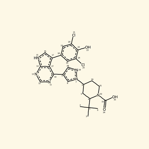 CC(C)(C)C1CC(n2cc(-c3ncnc4[nH]cc(-c5cc(Cl)c(O)c(Cl)c5)c34)cn2)CCN1C(=O)O